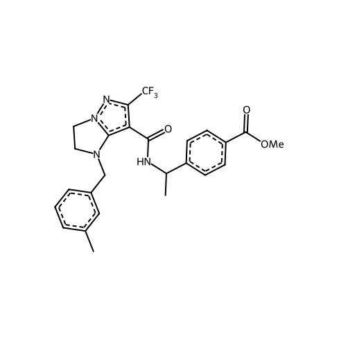 COC(=O)c1ccc(C(C)NC(=O)c2c(C(F)(F)F)nn3c2N(Cc2cccc(C)c2)CC3)cc1